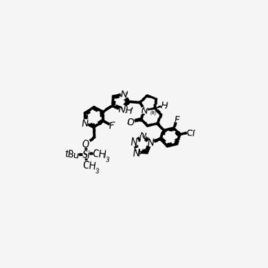 CC(C)(C)[Si](C)(C)OCc1nccc(-c2cnc(C3CC[C@@H]4CC(c5c(-n6cnnn6)ccc(Cl)c5F)CC(=O)N34)[nH]2)c1F